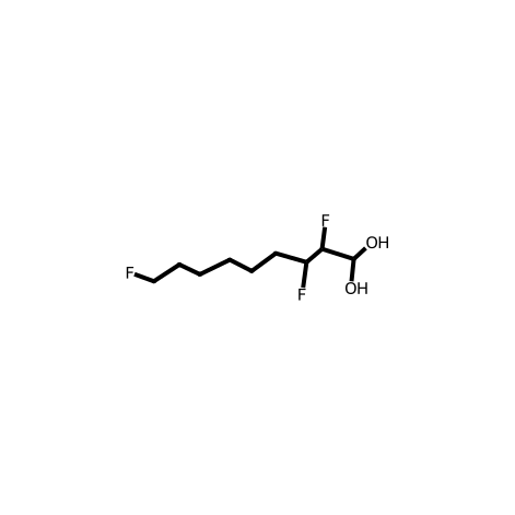 OC(O)C(F)C(F)CCCCCCF